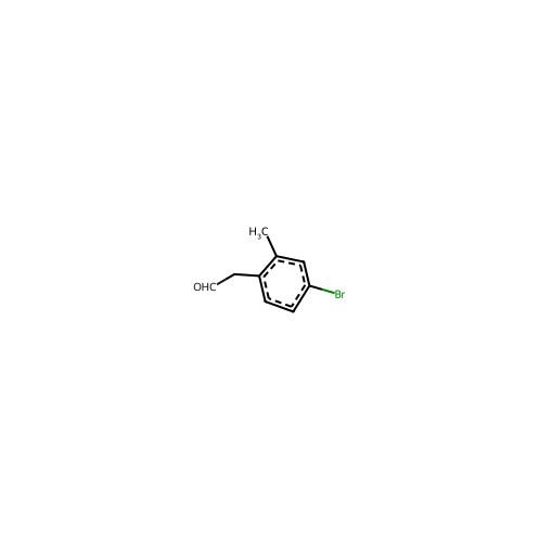 Cc1cc(Br)ccc1CC=O